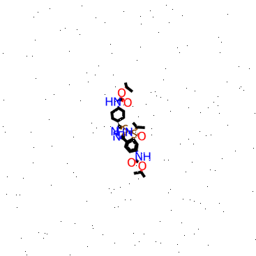 CC(C)OC(=O)Nc1ccc(-c2nnc([C@H]3CC[C@H](NC(=O)OC(C)C)CC3)s2)c(S(=N)(=O)C(C)C)c1